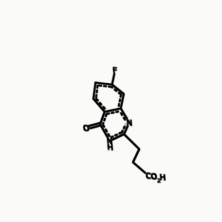 O=C(O)CCc1nc2cc(F)ccc2c(=O)[nH]1